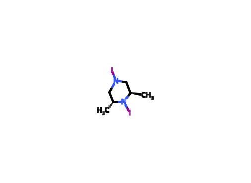 C[C@@H]1CN(I)C[C@@H](C)N1I